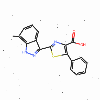 Cc1cccc2c(-c3nc(C(=O)O)c(-c4ccccc4)s3)n[nH]c12